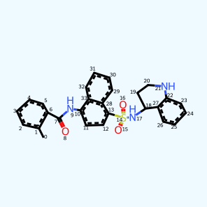 Cc1ccccc1C(=O)Nc1ccc(S(=O)(=O)NC2CCNc3ccccc32)c2ccccc12